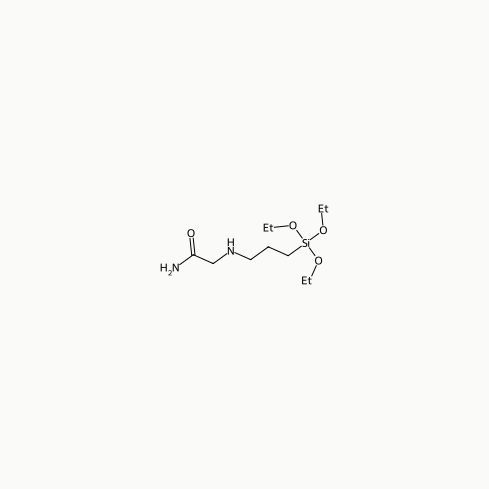 CCO[Si](CCCNCC(N)=O)(OCC)OCC